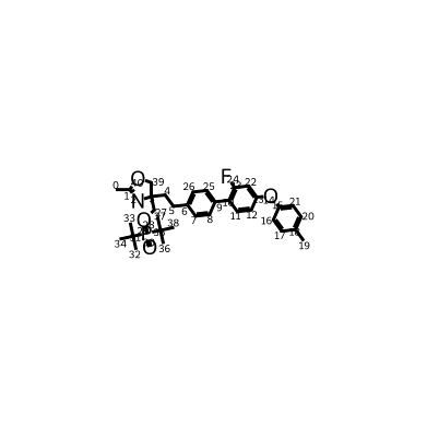 CC1=NC(CCc2ccc(-c3ccc(Oc4ccc(C)cc4)cc3F)cc2)(COP(=O)(C(C)(C)C)C(C)(C)C)CO1